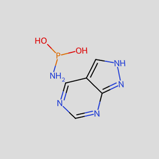 NP(O)O.c1ncc2c[nH]nc2n1